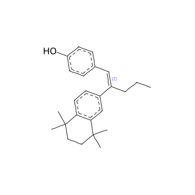 CCC/C(=C/c1ccc(O)cc1)c1ccc2c(c1)C(C)(C)CCC2(C)C